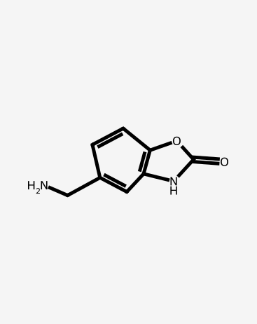 NCc1ccc2oc(=O)[nH]c2c1